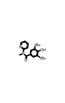 CN(C(=O)c1cc(C(C)(C)C)c(O)c(C(C)(C)C)c1)c1ccccn1